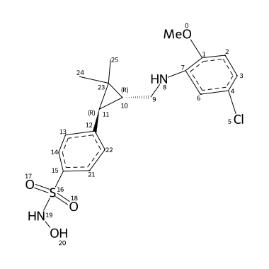 COc1ccc(Cl)cc1NC[C@@H]1[C@@H](c2ccc(S(=O)(=O)NO)cc2)C1(C)C